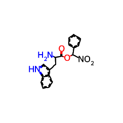 NC(Cc1c[nH]c2ccccc12)C(=O)OC(c1ccccc1)[N+](=O)[O-]